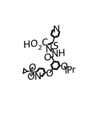 CC(C)Oc1cc(Oc2ccc(S(=O)(=O)C3CC3)nc2)cc(C(=O)Nc2nc(C(=O)O)c(-c3ccncc3)s2)c1